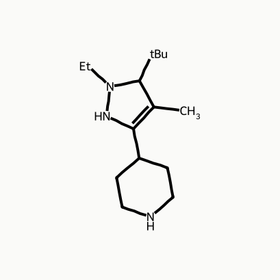 CCN1NC(C2CCNCC2)=C(C)C1C(C)(C)C